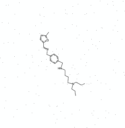 CCCN(CCC)CCCCNCc1ccc(CN=Cc2ccc(C)o2)cc1